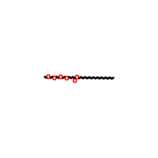 CCCCCCCCCCCCCCCCCCOC(=O)CCCOCCOCCOCCOCC